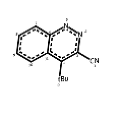 CC(C)(C)c1c(C#N)nnc2ccccc12